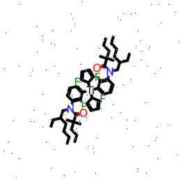 CCCCC(CC)CN(C(=O)C(C)(C)CCC)c1ccc(F)[c]([Ti]([c]2c(F)ccc(N(CC(CC)CCCC)C(=O)C(C)(C)CCC)c2F)([CH]2C=CC=C2)[CH]2C=CC=C2)c1F